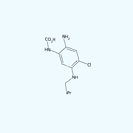 CC(C)CNc1cc(NC(=O)O)c(N)cc1Cl